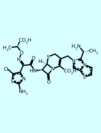 C[C@H](O/N=C(\C(=O)N[C@@H]1C(=O)N2C(C(=O)O)=C(C[n+]3cc4sccn4c3[C@@H](C)N)CS[C@H]12)c1nc(N)sc1Cl)C(=O)O